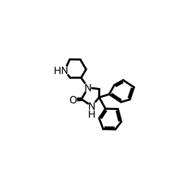 O=C1NC(c2ccccc2)(c2ccccc2)CN1C1CCCNC1